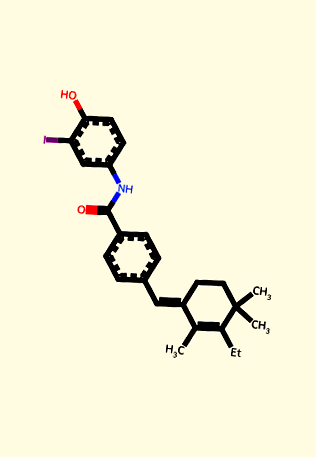 CCC1=C(C)/C(=C/c2ccc(C(=O)Nc3ccc(O)c(I)c3)cc2)CCC1(C)C